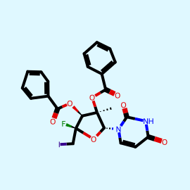 C[C@]1(OC(=O)c2ccccc2)[C@H](n2ccc(=O)[nH]c2=O)O[C@](F)(CI)[C@H]1OC(=O)c1ccccc1